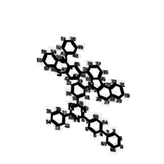 c1ccc(-c2ccc(-c3nc(-c4ccccc4)nc(-c4cccc(-n5c6ccc7ccccc7c6c6cccc(-c7ccc8c(c7)N(c7ccccc7)c7ccccc7S8)c65)c4)n3)cc2)cc1